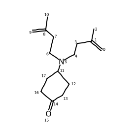 C=C(C)CCN(CCC(=C)C)C1CCC(=O)CC1